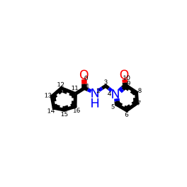 O=C(NCn1ccccc1=O)c1ccccc1